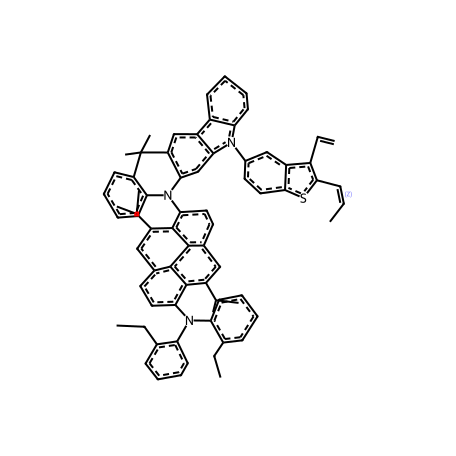 C=Cc1c(/C=C\C)sc2ccc(-n3c4ccccc4c4cc5c(cc43)N(c3ccc4cc(C(C)C)c6c(N(c7ccccc7CC)c7ccccc7CC)ccc7cc(C(C)C)c3c4c76)c3ccccc3C5(C)C)cc12